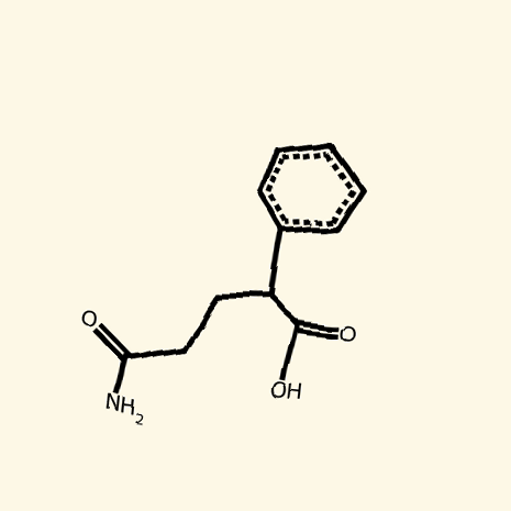 NC(=O)CCC(C(=O)O)c1ccccc1